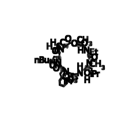 CCCC[C@@H](C)C[C@@H]1NC(=O)[C@H](Cc2ccccc2)N(C)C(=O)[C@H](CC(C)C)NC(O)[C@H](CC(C)C)N(C)C(=O)[C@H](CC)NC(=O)[C@@H](C)OC(=O)[C@H](C)N(C)C1=O